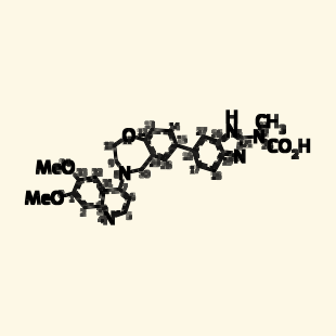 COc1cc2nccc(N3CCOc4ccc(-c5ccc6nc(N(C)C(=O)O)[nH]c6c5)cc4C3)c2cc1OC